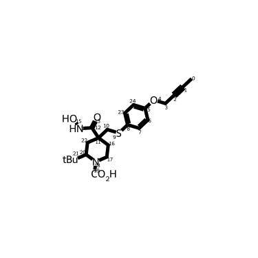 CC#CCOc1ccc(SCC2(C(=O)NO)CCN(C(=O)O)C(C(C)(C)C)C2)cc1